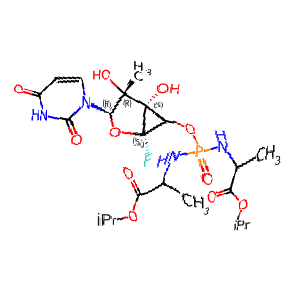 CC(C)OC(=O)C(C)NP(=O)(NC(C)C(=O)OC(C)C)OC1[C@]2(O)[C@@](C)(O)[C@H](n3ccc(=O)[nH]c3=O)O[C@]12F